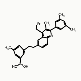 Cc1cc(CCc2ccc3nc(-c4cc(C)cc(C)c4)c(C)c(CC(C)C)c3c2)cc(B(O)O)c1